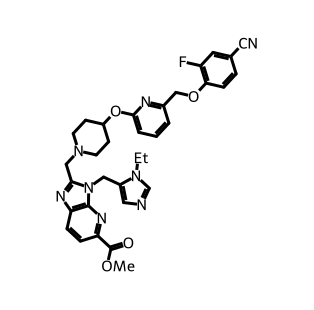 CCn1cncc1Cn1c(CN2CCC(Oc3cccc(COc4ccc(C#N)cc4F)n3)CC2)nc2ccc(C(=O)OC)nc21